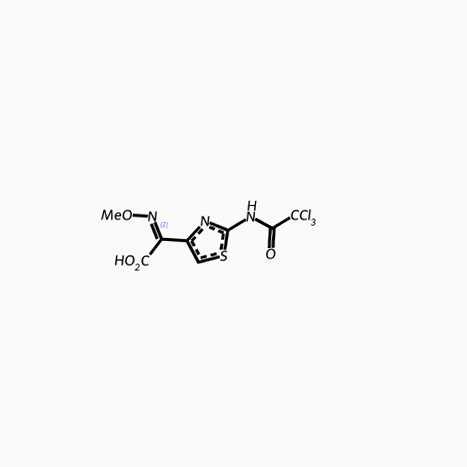 CO/N=C(\C(=O)O)c1csc(NC(=O)C(Cl)(Cl)Cl)n1